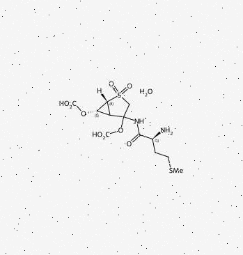 CSCC[C@H](N)C(=O)NC1(OC(=O)O)CS(=O)(=O)[C@@H]2C1[C@@H]2OC(=O)O.O